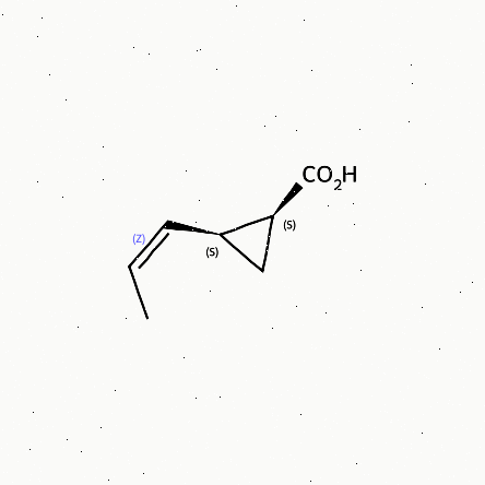 C/C=C\[C@@H]1C[C@@H]1C(=O)O